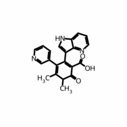 CC1=C(c2cccnc2)C(c2c[nH]c3cccnc23)=C(C(=O)O)C(=O)C1C